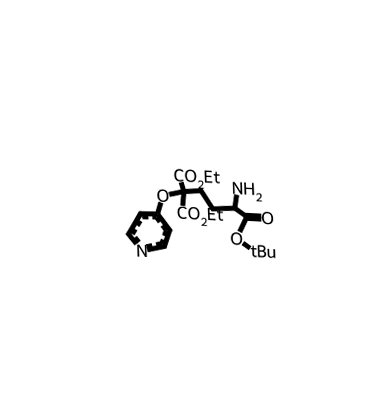 CCOC(=O)C(CCC(N)C(=O)OC(C)(C)C)(Oc1ccncc1)C(=O)OCC